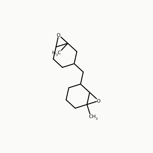 CC12CC(CC3CCCC4(C)OC34)CCC1O2